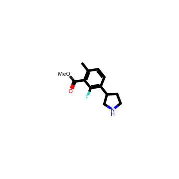 COC(=O)c1c(C)ccc(C2CCNC2)c1F